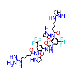 CC(=N)NCCCCC(=O)Nc1cc(C(F)(F)F)cc(NC(=O)Nc2cc(C(F)(F)F)cc(NC(=O)CCCCNC(=N)N)c2OC2CCNC2)c1OC1CCNC1